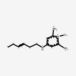 CC/C=C/CCNc1cc(N)[n+]([O-])c(N)c1